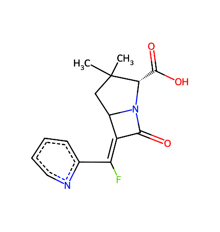 CC1(C)CC2/C(=C(/F)c3ccccn3)C(=O)N2[C@H]1C(=O)O